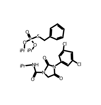 CC(C)NC(=O)N1CC(=O)N(c2cc(Cl)cc(Cl)c2)C1=O.CC(C)OP(=O)(OC(C)C)SCc1ccccc1